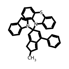 CC1C=C2C(=CC(N3c4ccccc4Sc4ccccc43)(n3ccc4ccccc43)C=C2c2ccccc2)C1